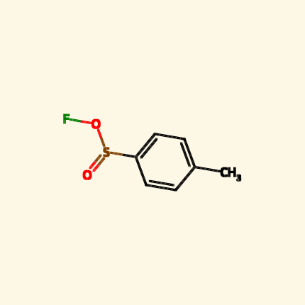 Cc1ccc(S(=O)OF)cc1